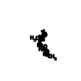 Cc1nc(N2CCCC3(CC3)C2)ncc1Cn1cc(C(=O)N[C@@H]2CCc3c2ncn3C)cn1